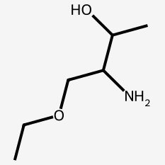 CCOCC(N)C(C)O